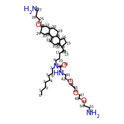 CCCCCCCCN(CCC[C@@H](C)C1CCC2C3CCC4C[C@H](OCCCN)CC[C@]4(C)C3CC[C@@]21C)C(=O)NCCOCCOCCOCCN